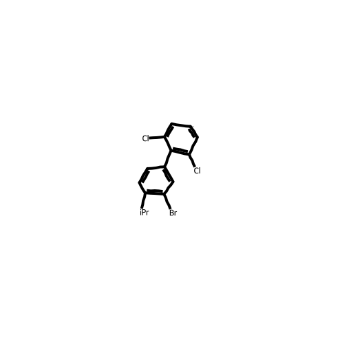 CC(C)c1ccc(-c2c(Cl)c[c]cc2Cl)cc1Br